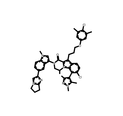 Cc1cc(OCCCc2c3n(c4c(-c5c(C)nn(C)c5C)c(Cl)ccc24)C(C)CN(c2cn(C)c4ccc(-c5cn6c(n5)CCC6)cc24)C3=O)cc(C)c1Cl